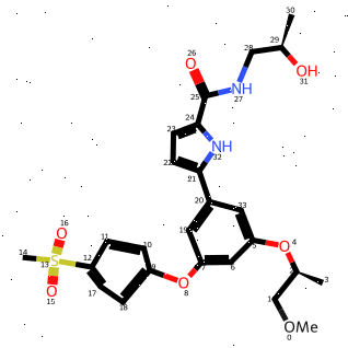 COC[C@H](C)Oc1cc(Oc2ccc(S(C)(=O)=O)cc2)cc(-c2ccc(C(=O)NC[C@@H](C)O)[nH]2)c1